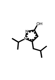 CC(C)Cc1cc(O)nn1C(C)C